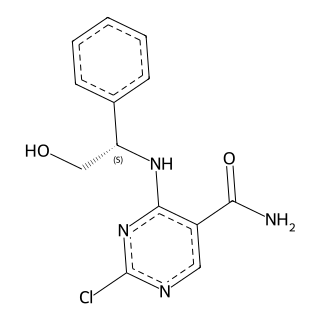 NC(=O)c1cnc(Cl)nc1N[C@H](CO)c1ccccc1